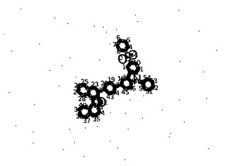 O=S(=O)(c1ccccc1)c1ccc2c(c1)c1cc(-c3ccc(-c4cc5ccccc5c5c4oc4ccc6ccccc6c45)cc3)ccc1n2-c1ccccc1